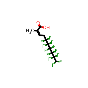 CC(=CCC(F)(F)C(F)(F)C(F)(F)C(F)(F)C(F)(F)C(F)F)C(=O)O